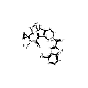 COCC1(N(C)C(=O)c2n[nH]c3c2CN(C(=O)c2cc4c(Cl)cccc4[nH]2)CC3)CC1